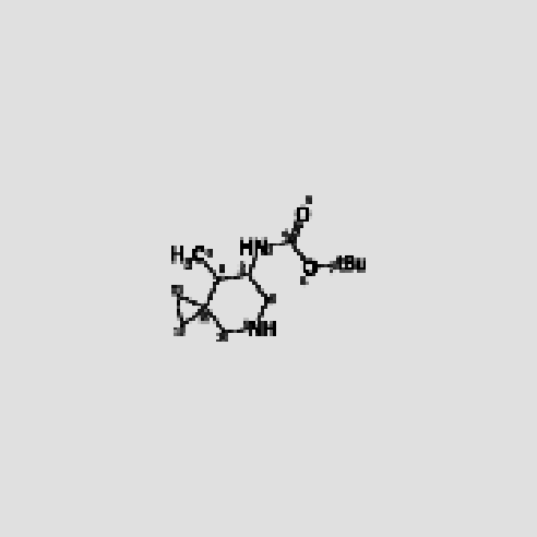 CC1C(NC(=O)OC(C)(C)C)CNCC12CC2